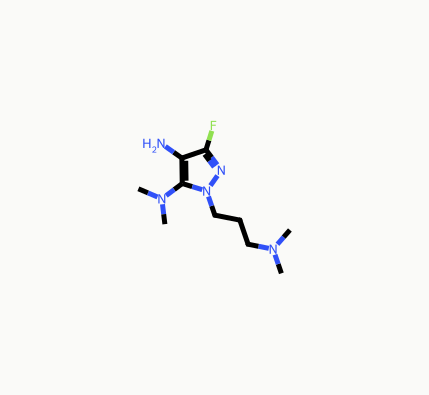 CN(C)CCCn1nc(F)c(N)c1N(C)C